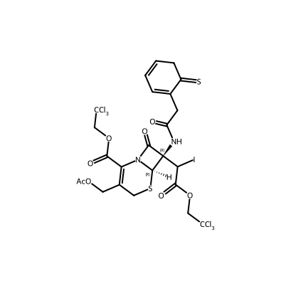 CC(=O)OCC1=C(C(=O)OCC(Cl)(Cl)Cl)N2C(=O)[C@](NC(=O)CC3=CC=CCC3=S)(C(I)C(=O)OCC(Cl)(Cl)Cl)[C@H]2SC1